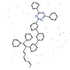 C\C=C/C=C\C=C\C(=C(c1ccccc1)c1ccccc1)c1cccc(-c2cccc(-c3cccc(-c4nc(-c5ccccc5)nc(-c5ccccc5)n4)c3)c2)c1